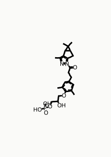 Cc1cc(CCC(=O)n2nc(C)c3c2CC2C3C2(C)C)cc(C)c1OCC(O)COP(=O)(O)O